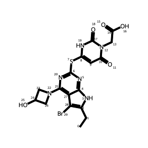 CCc1[nH]c2nc(Sc3cc(=O)n(CC(=O)O)c(=O)[nH]3)nc(N3CC(O)C3)c2c1Br